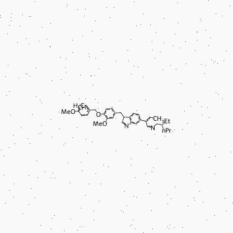 C=C(/C=C\C(=C/C)COc1ccc(CC2C=Nc3cc(C(/C=N\CC(CC)CCC)=C/C)ccc32)cc1OC)OC